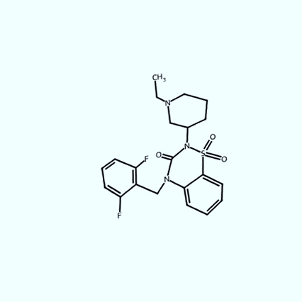 CCN1CCCC(N2C(=O)N(Cc3c(F)cccc3F)c3ccccc3S2(=O)=O)C1